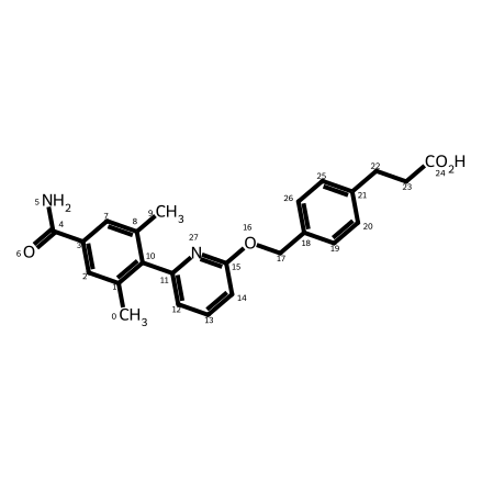 Cc1cc(C(N)=O)cc(C)c1-c1cccc(OCc2ccc(CCC(=O)O)cc2)n1